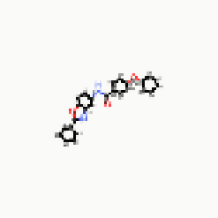 O=C(Nc1ccc2oc(-c3ccccc3)nc2c1)c1ccc(Oc2ccccc2)cc1